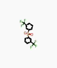 O=S(=O)(c1cccc(C(F)(F)F)c1)c1cccc(C(F)(F)F)c1